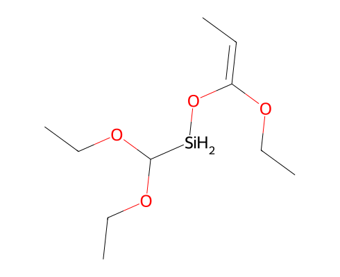 CC=C(OCC)O[SiH2]C(OCC)OCC